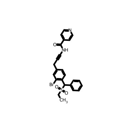 CCS(=O)(=O)C(c1ccccc1)c1ccc(CC#CNC(=O)c2ccncc2)cc1Br